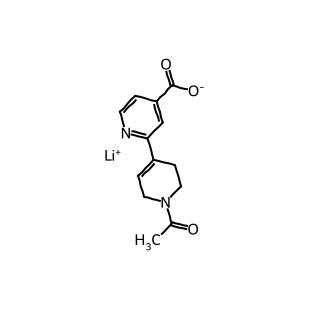 CC(=O)N1CC=C(c2cc(C(=O)[O-])ccn2)CC1.[Li+]